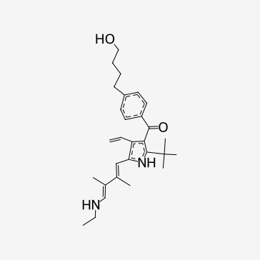 C=Cc1c(/C=C(C)/C(C)=C/NCC)[nH]c(C(C)(C)C)c1C(=O)c1ccc(CCCCO)cc1